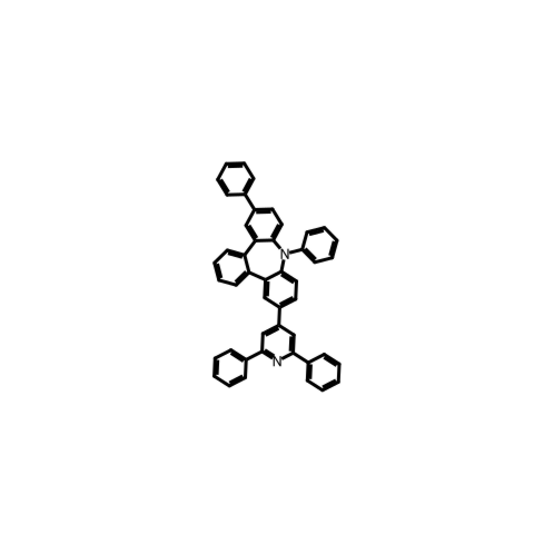 c1ccc(-c2ccc3c(c2)-c2ccccc2-c2cc(-c4cc(-c5ccccc5)nc(-c5ccccc5)c4)ccc2N3c2ccccc2)cc1